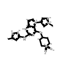 Cc1cc(Nc2nc(OC3CCS(=O)(=O)CC3)c3c(ccn3-c3cnn(C)c3)n2)sn1